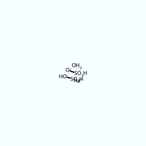 O.O=S(=O)(O)O.O=S(=O)([O-])O.[Na+]